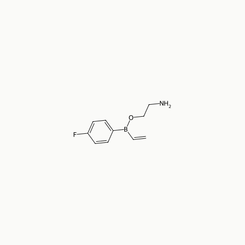 C=CB(OCCN)c1ccc(F)cc1